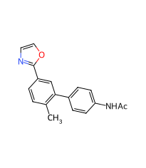 CC(=O)Nc1ccc(-c2cc(-c3ncco3)ccc2C)cc1